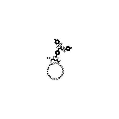 Cc1ccc(S(=O)(=O)CC(CS(=O)(=O)c2ccc(C)cc2)C(=O)c2ccc(C(=O)N[C@H](CCC(=O)O)C(=O)N3CCOCCOCCOCCOCCOCCOCCOCC3)cc2)cc1